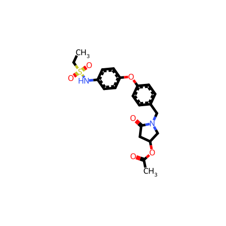 CCS(=O)(=O)Nc1ccc(Oc2ccc(CN3CC(OC(C)=O)CC3=O)cc2)cc1